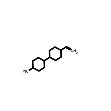 C=CC1CCC(C2CCC(C#N)CC2)CC1